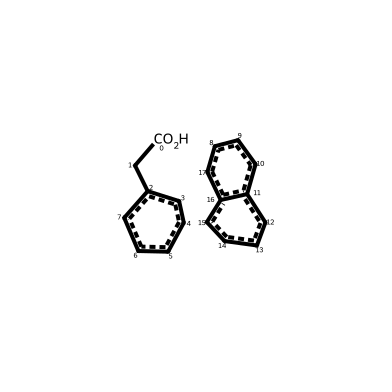 O=C(O)Cc1ccccc1.c1ccc2ccccc2c1